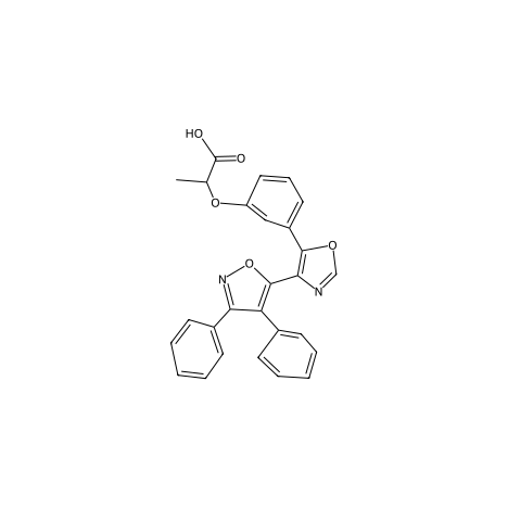 CC(Oc1cccc(-c2ocnc2-c2onc(-c3ccccc3)c2-c2ccccc2)c1)C(=O)O